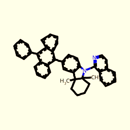 CC12CCCCC1(C)N(c1nccc3ccccc13)c1ccc(-c3c4ccccc4c(-c4ccccc4)c4ccccc34)cc12